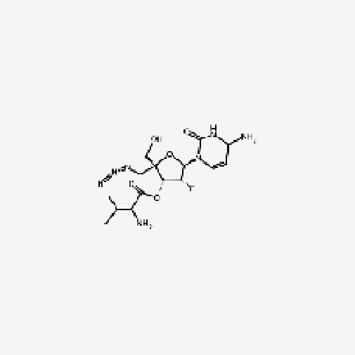 CC(C)C(N)C(=O)O[C@H]1[C@@H](F)[C@H](N2C=CC(N)NC2=O)O[C@@]1(CO)CN=[N+]=[N-]